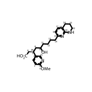 COc1ccc([C@@H](CC(=O)O)CC(O)CCCCc2ccc3c(n2)NCCC3)cn1